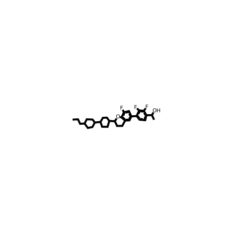 CCCC1CCC(C2CCC(C3CCc4cc(-c5ccc(C(C)O)c(F)c5F)cc(F)c4O3)CC2)CC1